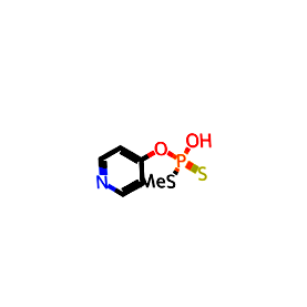 CSP(O)(=S)Oc1ccncc1